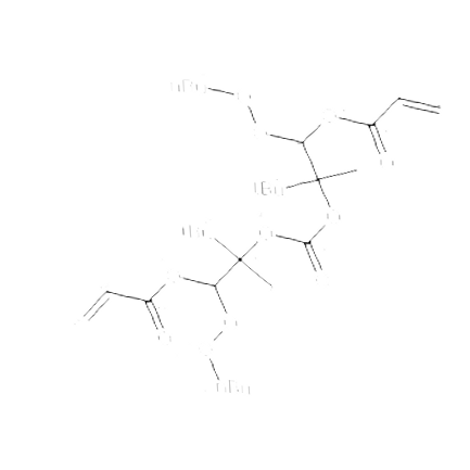 C=CC(=O)OC(OOCCCC)C(C)(OC(=O)OC(C)(C(OOCCCC)OC(=O)C=C)C(C)(C)C)C(C)(C)C